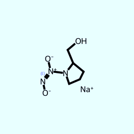 [Na+].[O-]/N=[N+](/[O-])N1CCCC1CO